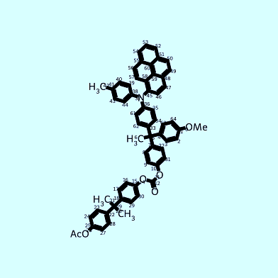 COc1ccc(C(C)(c2ccc(OC(=O)Oc3ccc(C(C)(C)c4ccc(OC(C)=O)cc4)cc3)cc2)c2ccc(N(c3ccc(C)cc3)c3ccc4ccc5cccc6ccc3c4c56)cc2)cc1